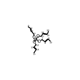 CC=CCO[Si](OCC=CC)(OCC=CC)OCC=CC